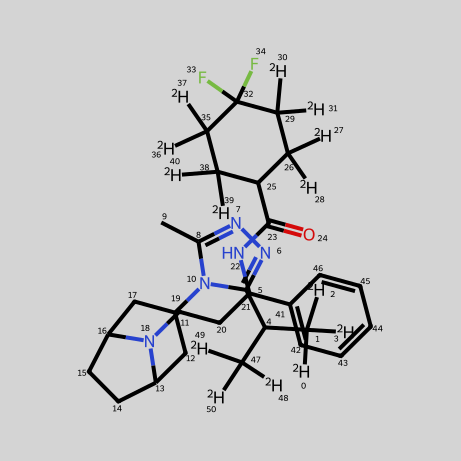 [2H]C([2H])([2H])C(c1nnc(C)n1C1CC2CCC(C1)N2CCC(NC(=O)C1C([2H])([2H])C([2H])([2H])C(F)(F)C([2H])([2H])C1([2H])[2H])c1ccccc1)C([2H])([2H])[2H]